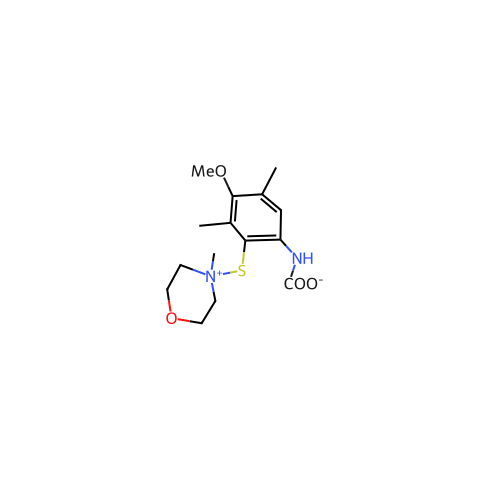 COc1c(C)cc(NC(=O)[O-])c(S[N+]2(C)CCOCC2)c1C